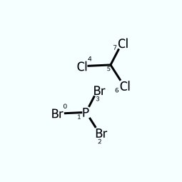 BrP(Br)Br.ClC(Cl)Cl